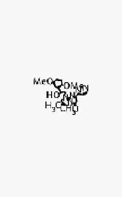 COc1ccc(OC)c(C(O)CN2CC(C)(C)Cn3c2nc(-c2ccncn2)cc3=O)c1